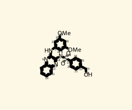 COc1cc(Nc2nc3ccccc3nc2NS(=O)(=O)c2ccc(CO)cc2)cc(OC)c1